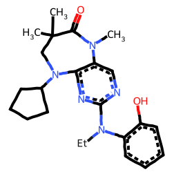 CCN(c1ncc2c(n1)N(C1CCCC1)CC(C)(C)C(=O)N2C)c1ccccc1O